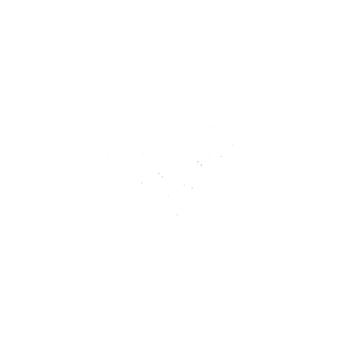 CC(=O)N(Cc1ccccc1)C(C(=O)NC1CCCCC1)c1ccccc1